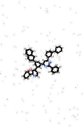 c1ccc(-c2cccc(-c3cc(-c4cc(-c5ccc6ccccc6c5)cc(-c5ccnc6c5oc5ccccc56)c4)nc(-c4ccccc4)n3)c2)cc1